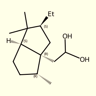 CC[C@H]1C[C@@]2(CC(O)O)[C@H](C)CC[C@H]2C1(C)C